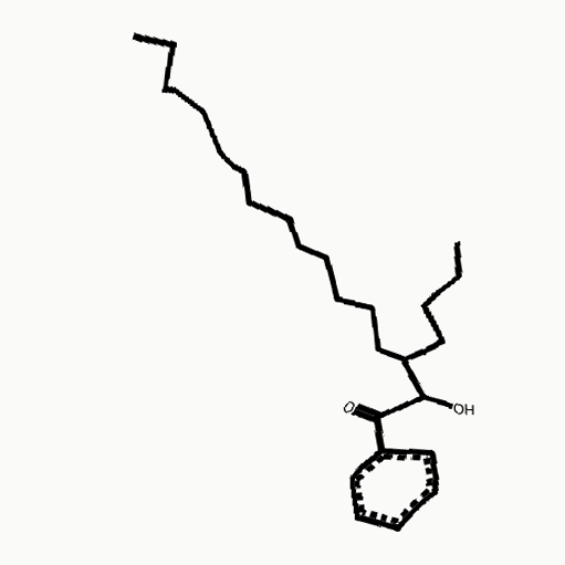 CCCCCCCCCCCCCC(CCCC)C(O)C(=O)c1ccccc1